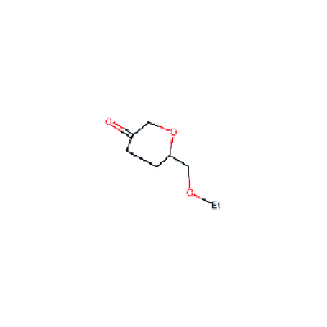 CCOCC1CCC(=O)CO1